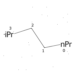 [CH2]CCCC[C](C)C